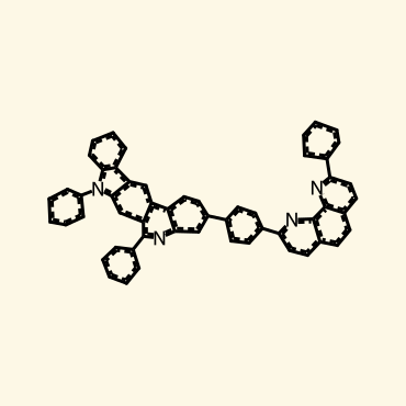 c1ccc(-c2ccc3ccc4ccc(-c5ccc(-c6ccc7c(c6)nc(-c6ccccc6)c6cc8c(cc67)c6ccccc6n8-c6ccccc6)cc5)nc4c3n2)cc1